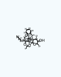 CC(=O)OC1[C@H](N=[N+]=[N-])C2OC[C@@H](O2)[C@H]1O[C@@H]1OC(C)[C@@H](O)[C@H](C)C1OCc1ccccc1